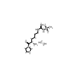 CS(=O)(=O)NC(=N)NCCCC[C@H](N)C(=O)N1CCSC1.Cl.Cl